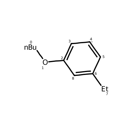 CCCCOc1c[c]cc(CC)c1